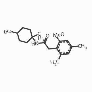 COc1cc(C)cc(C)c1CC(=O)NC1(C)CCC(C(C)(C)C)CC1